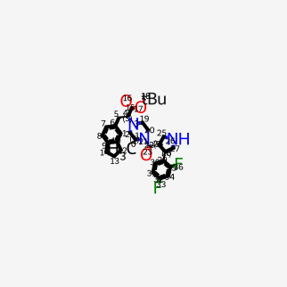 C[C@H]1CN([C@@H](Cc2ccc3c(c2)CCC3)C(=O)OC(C)(C)C)CCN1C(=O)[C@@H]1CNC[C@H]1c1ccc(F)cc1F